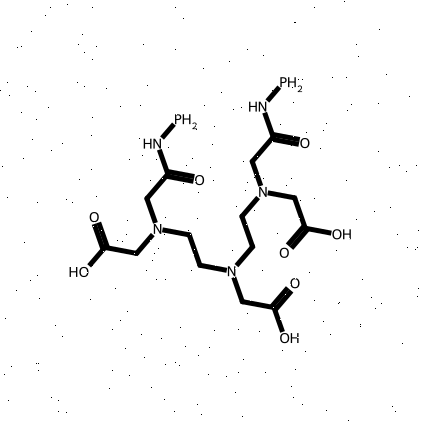 O=C(O)CN(CCN(CC(=O)O)CC(=O)NP)CCN(CC(=O)O)CC(=O)NP